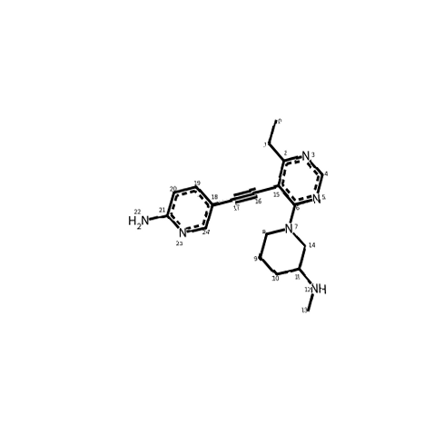 CCc1ncnc(N2CCCC(NC)C2)c1C#Cc1ccc(N)nc1